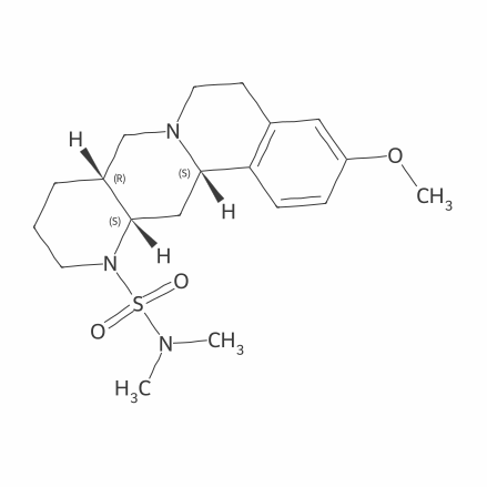 COc1ccc2c(c1)CCN1C[C@H]3CCCN(S(=O)(=O)N(C)C)[C@H]3C[C@@H]21